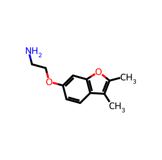 Cc1oc2cc(OCCN)ccc2c1C